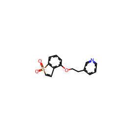 O=S1(=O)C=Cc2c(OCCc3cccnc3)cccc21